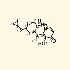 O=C1c2c(O)c(=O)ccn2N[C@@H]2COC(SC3CC3)CN12